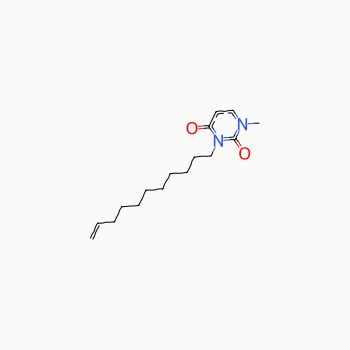 C=CCCCCCCCCCn1c(=O)ccn(C)c1=O